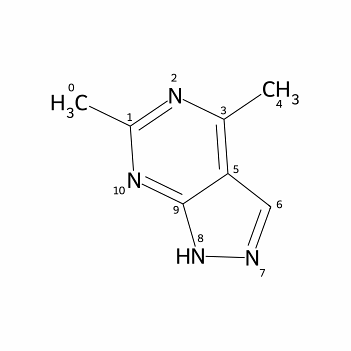 Cc1nc(C)c2cn[nH]c2n1